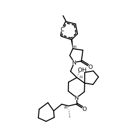 Cc1ccc([C@H]2CC(=O)N(C[C@]3(O)CCN(C(=O)[C@H](C)CC4CCCCC4)CC34CCCC4)C2)cc1